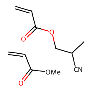 C=CC(=O)OC.C=CC(=O)OCC(C)C#N